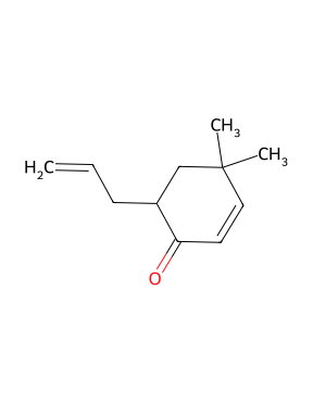 C=CCC1CC(C)(C)C=CC1=O